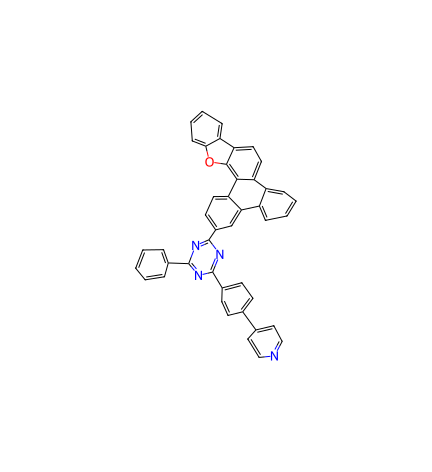 c1ccc(-c2nc(-c3ccc(-c4ccncc4)cc3)nc(-c3ccc4c(c3)c3ccccc3c3ccc5c6ccccc6oc5c34)n2)cc1